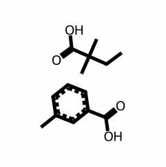 CCC(C)(C)C(=O)O.Cc1cccc(C(=O)O)c1